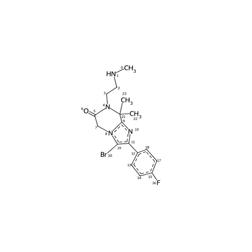 CNCCN1C(=O)Cn2c(nc(-c3ccc(F)cc3)c2Br)C1(C)C